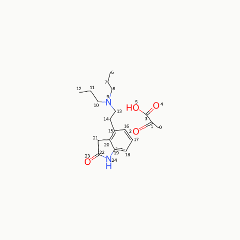 CC(=O)C(=O)O.CCCN(CCC)CCc1cccc2c1CC(=O)N2